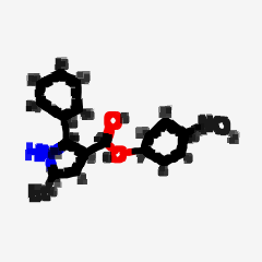 CCc1cc(C(=O)Oc2ccc([N+](=O)[O-])cc2)c(-c2ccccc2)[nH]1